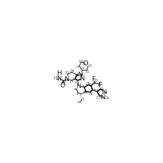 CC[C@@H]1CCN(c2nn(C3CCOCC3)c3c2CN(C(=O)NC)CC3)c2cc(C(F)F)c(-c3cnn(C)c3)cc21